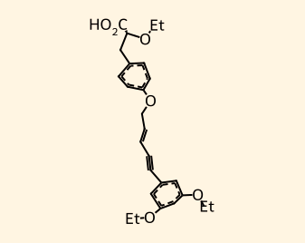 CCOc1cc(C#CC=CCOc2ccc(C[C@H](OCC)C(=O)O)cc2)cc(OCC)c1